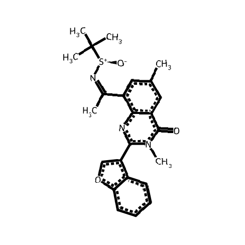 C/C(=N/[S@+]([O-])C(C)(C)C)c1cc(C)cc2c(=O)n(C)c(-c3coc4ccccc34)nc12